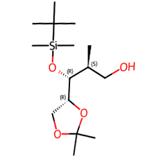 C[C@@H](CO)[C@@H](O[Si](C)(C)C(C)(C)C)[C@H]1COC(C)(C)O1